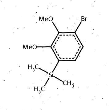 COc1c(Br)ccc([Si](C)(C)C)c1OC